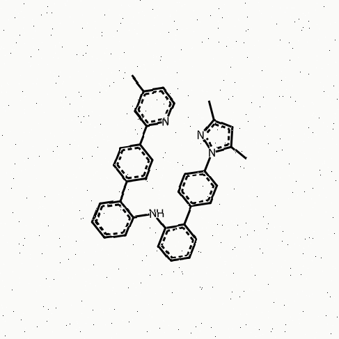 Cc1ccnc(-c2ccc(-c3ccccc3Nc3ccccc3-c3ccc(-n4nc(C)cc4C)cc3)cc2)c1